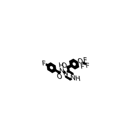 O=C(NN1CCNCC1C(=O)c1ccc(OC(F)(F)F)cc1)c1ccc(F)cc1